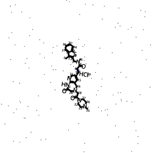 Cc1c(CN(C)C(=O)/C=C/c2cnc3c(c2)CN(CC(=O)N2CCN(C)CC2)CC(=O)N3)sc2ccccc12.Cl